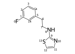 Fc1cc[c]c(CCNc2nccs2)c1